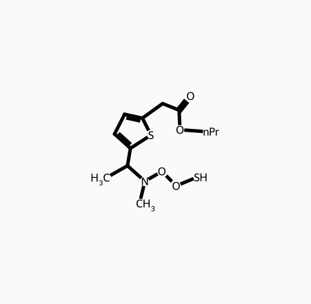 CCCOC(=O)Cc1ccc(C(C)N(C)OOS)s1